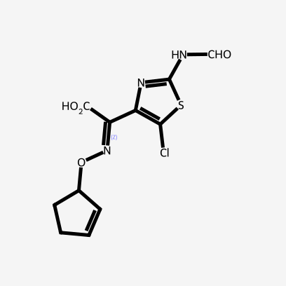 O=CNc1nc(/C(=N/OC2C=CCC2)C(=O)O)c(Cl)s1